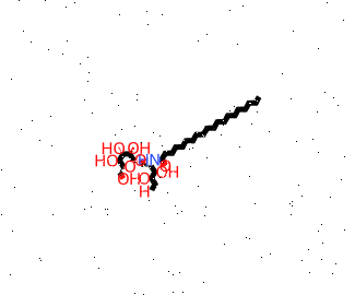 CCCCCCCCCCCCCCCCCCCC(=O)N[C@@H](CO[C@H]1O[C@H](CO)[C@H](O)[C@H](O)[C@H]1O)[C@H](O)[C@H](O)CC